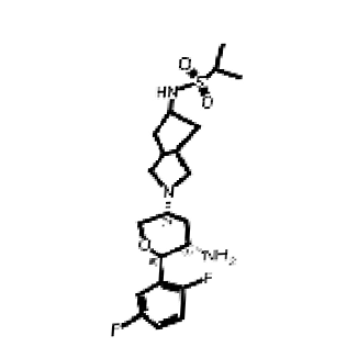 CC(C)S(=O)(=O)NC1CC2CN([C@H]3CO[C@H](c4cc(F)ccc4F)[C@@H](N)C3)CC2C1